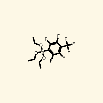 CCO[Si](OCC)(OCC)c1c(F)c(F)c(C(F)(F)F)c(F)c1F